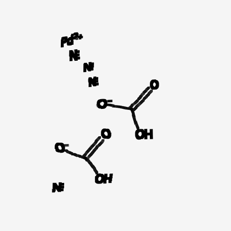 O=C([O-])O.O=C([O-])O.[N].[N].[N].[N].[Pd+2]